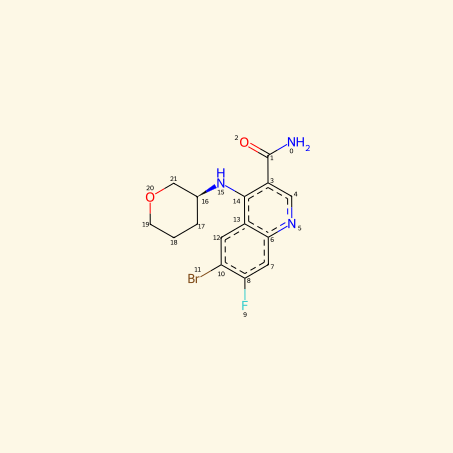 NC(=O)c1cnc2cc(F)c(Br)cc2c1N[C@H]1CCCOC1